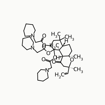 C=C[C@@]1(C)CC(=O)[C@@H]2[C@]3(C)[C@@H](CC[C@@]2(C)O1)C(C)(C)CC(OC(=O)CN1CCCCC1)C3(OC(=O)CN1CCCCC1)OC(=O)CN1CCCCC1